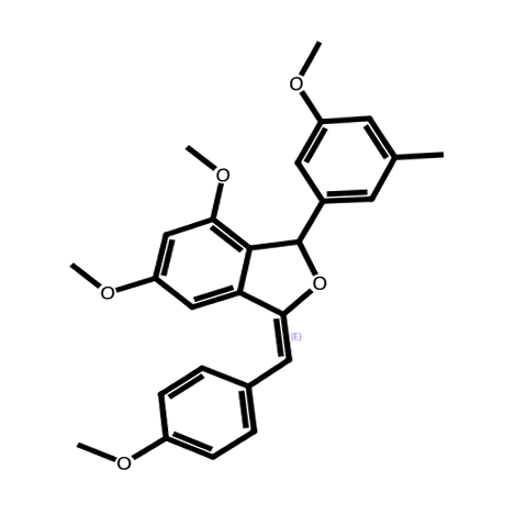 COc1ccc(/C=C2/OC(c3cc(C)cc(OC)c3)c3c(OC)cc(OC)cc32)cc1